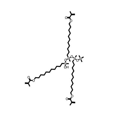 C=C(C)C(=O)OCCCCCCCCCCC[Si](C)(O)O[Si](C)(CCCCCCCCCCCOC(=O)C(=C)C)O[Si](C)(CCCCCCCCCCCOC(=O)C(=C)C)O[Si](C)(C)C